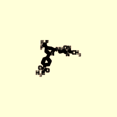 Cc1noc(CNc2cc(C(F)(F)F)cc(-c3ccc(S(C)(=O)=O)cc3)n2)n1